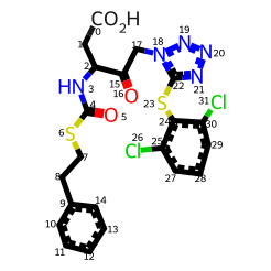 O=C(O)CC(NC(=O)SCCc1ccccc1)C(=O)Cn1nnnc1Sc1c(Cl)cccc1Cl